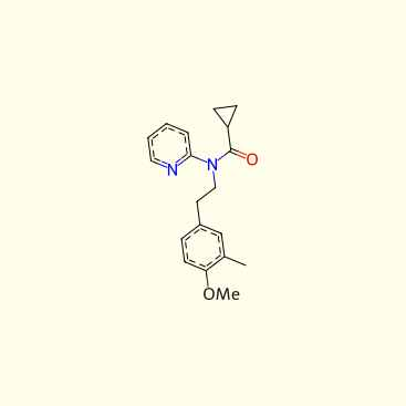 COc1ccc(CCN(C(=O)C2CC2)c2ccccn2)cc1C